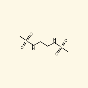 CS(=O)(=O)NCCNS(C)(=O)=O